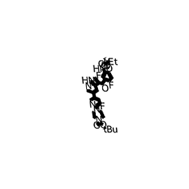 CCN(C)S(=O)(=O)Nc1ccc(F)c(C(=O)c2c[nH]c3ncc(-c4cnc(N5CCN(C(=O)OC(C)(C)C)CC5)c(F)c4)cc23)c1F